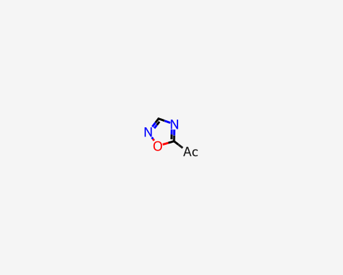 CC(=O)c1ncno1